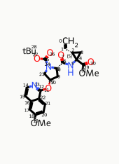 C=C[C@@H]1CC1(NC(=O)[C@@H]1C[C@@H](Oc2nccc3cc(OC)ccc23)CN1C(=O)OC(C)(C)C)C(=O)OC